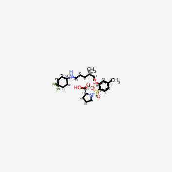 Cc1ccc(S(=O)(=O)N2CCC[C@H]2C(=O)O)c(OC[C@H](C)CCCNC2CCC(F)(F)CC2)c1